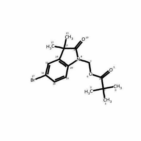 CC(C)(C)C(=O)OCN1C(=O)C(C)(C)c2cc(Br)ccc21